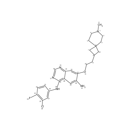 CN1CCC2(CC1)CC(CCOc1cc3ncnc(Nc4ccc(F)c(Cl)c4)c3cc1N)C2